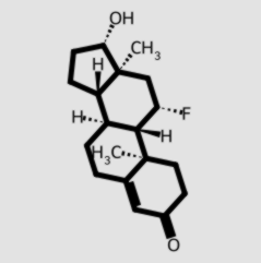 C[C@]12C[C@H](F)[C@H]3[C@@H](CCC4=CC(=O)CC[C@@]43C)[C@@H]1CC[C@@H]2O